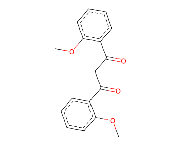 COc1ccccc1C(=O)CC(=O)c1ccccc1OC